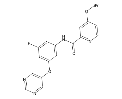 CC(C)Oc1ccnc(C(=O)Nc2cc(F)cc(Oc3cncnc3)c2)c1